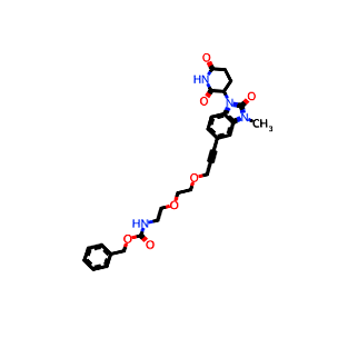 Cn1c(=O)n(C2CCC(=O)NC2=O)c2ccc(C#CCOCCOCCNC(=O)OCc3ccccc3)cc21